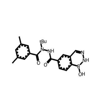 Cc1cc(C)cc(C(=O)N(NC(=O)c2ccc3c(c2)C=NNB3O)C(C)(C)C)c1